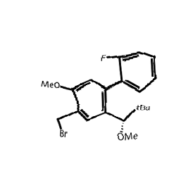 COc1cc(-c2ccccc2F)c([C@@H](OC)C(C)(C)C)cc1CBr